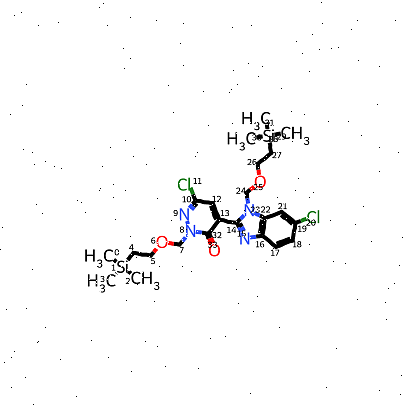 C[Si](C)(C)CCOCn1nc(Cl)cc(-c2nc3ccc(Cl)cc3n2COCC[Si](C)(C)C)c1=O